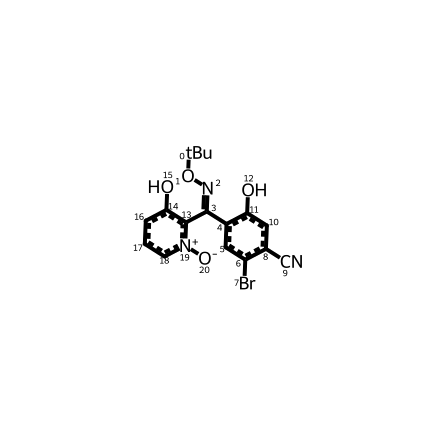 CC(C)(C)O/N=C(/c1cc(Br)c(C#N)cc1O)c1c(O)ccc[n+]1[O-]